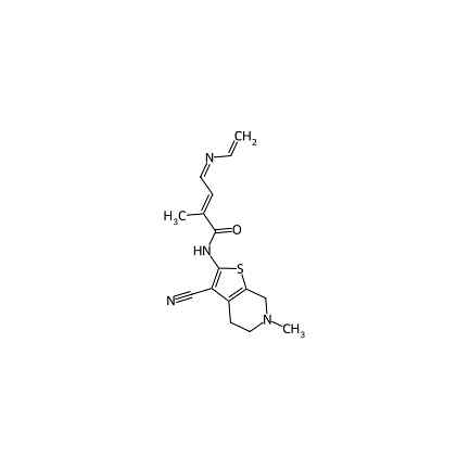 C=C/N=C\C=C(/C)C(=O)Nc1sc2c(c1C#N)CCN(C)C2